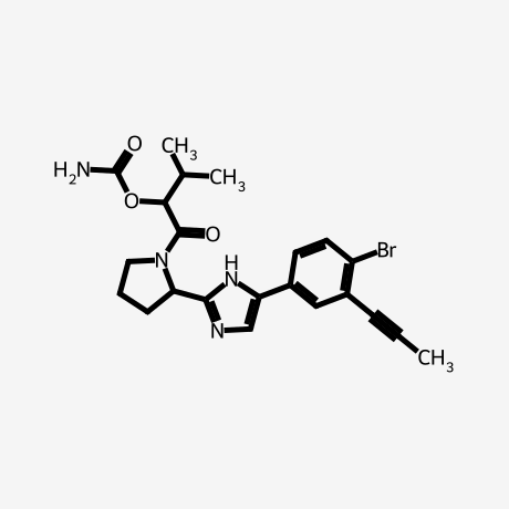 CC#Cc1cc(-c2cnc(C3CCCN3C(=O)C(OC(N)=O)C(C)C)[nH]2)ccc1Br